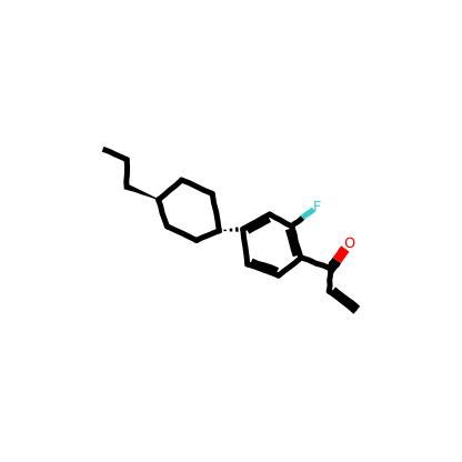 C=CC(=O)c1ccc([C@H]2CC[C@H](CCC)CC2)cc1F